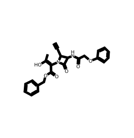 C#CC1C(NC(=O)COc2ccccc2)C(=O)N1/C(C(=O)OCc1ccccc1)=C(\C)O